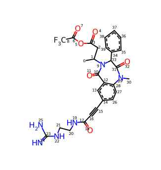 CC(CC(=O)OC(=O)C(F)(F)F)N1C(=O)c2cc(C#CC(=O)NCCNC(=N)N)ccc2N(C)C(=O)C1c1ccccc1